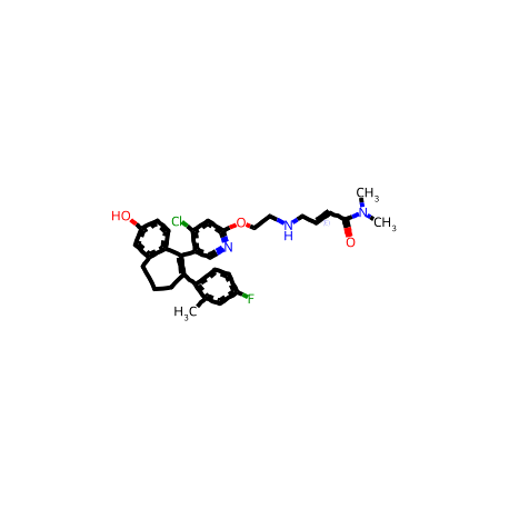 Cc1cc(F)ccc1C1=C(c2cnc(OCCNC/C=C/C(=O)N(C)C)cc2Cl)c2ccc(O)cc2CCC1